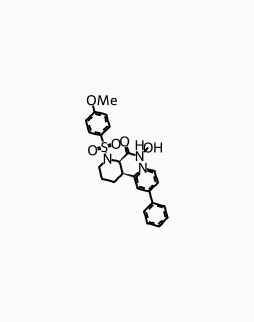 COc1ccc(S(=O)(=O)N2CCC[C@H](c3cc(-c4ccccc4)ccn3)[C@@H]2C(=O)NO)cc1